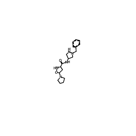 O=C(NC1CNN(Cc2ccccc2)C1)C1CC(N2CCCC2)ON1